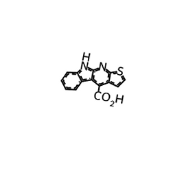 O=C(O)c1c2ccsc2nc2[nH]c3ccccc3c12